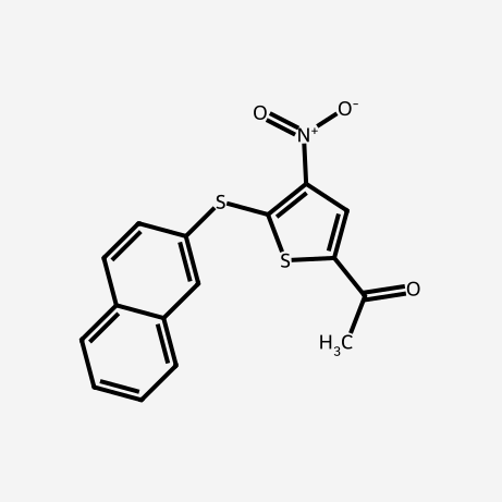 CC(=O)c1cc([N+](=O)[O-])c(Sc2ccc3ccccc3c2)s1